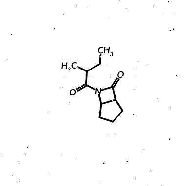 CCC(C)C(=O)N1C(=O)C2CCCC21